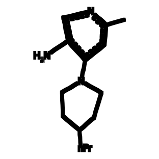 CCCC1CCN(c2cc(C)ncc2N)CC1